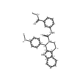 COC(=O)c1cccc(NC(=S)N2CCc3c([nH]c4ccccc34)C2c2ccc(OC)cc2)c1